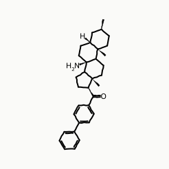 C[C@H]1CC[C@]2(C)C3CC[C@@]4(C)C(CC[C@@H]4C(=O)c4ccc(-c5ccccc5)cc4)[C@]3(N)CC[C@@H]2C1